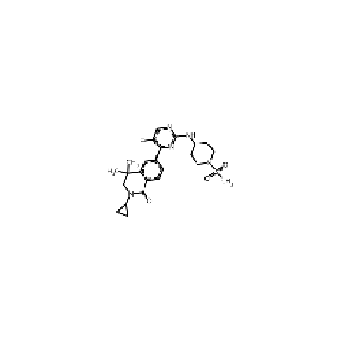 CC1(C)CN(C2CC2)C(=O)c2ccc(-c3nc(NC4CCN(S(C)(=O)=O)CC4)ncc3F)cc21